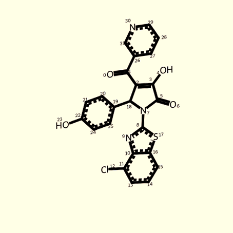 O=C(C1=C(O)C(=O)N(c2nc3c(Cl)cccc3s2)C1c1ccc(O)cc1)c1cccnc1